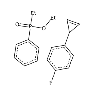 CCOP(=O)(CC)c1ccccc1.Fc1ccc(C2C=C2)cc1